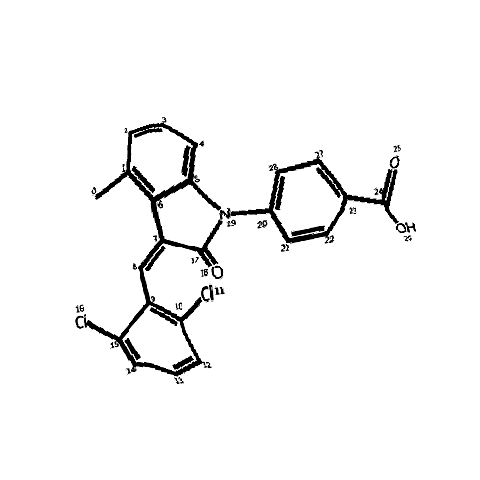 Cc1cccc2c1/C(=C/c1c(Cl)cccc1Cl)C(=O)N2c1ccc(C(=O)O)cc1